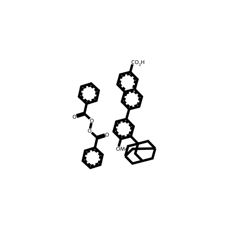 COc1ccc(-c2ccc3cc(C(=O)O)ccc3c2)cc1C12CC3CC(CC(C3)C1)C2.O=C(OOC(=O)c1ccccc1)c1ccccc1